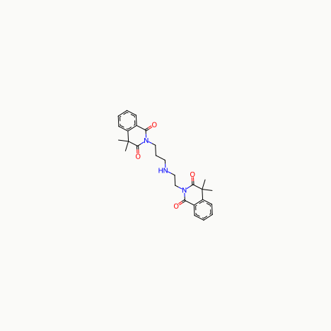 CC1(C)C(=O)N(CCCNCCN2C(=O)c3ccccc3C(C)(C)C2=O)C(=O)c2ccccc21